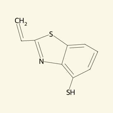 C=Cc1nc2c(S)cccc2s1